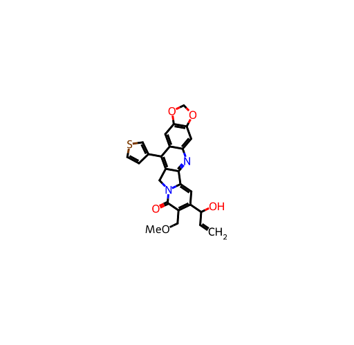 C=CC(O)c1cc2n(c(=O)c1COC)Cc1c-2nc2cc3c(cc2c1-c1ccsc1)OCO3